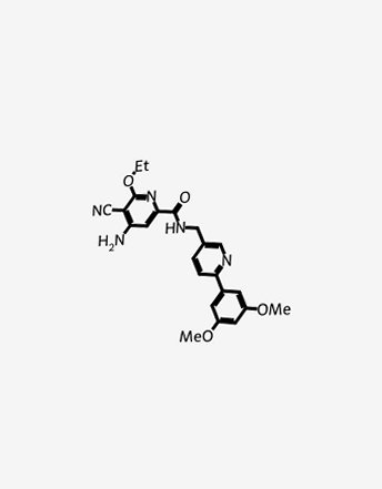 CCOc1nc(C(=O)NCc2ccc(-c3cc(OC)cc(OC)c3)nc2)cc(N)c1C#N